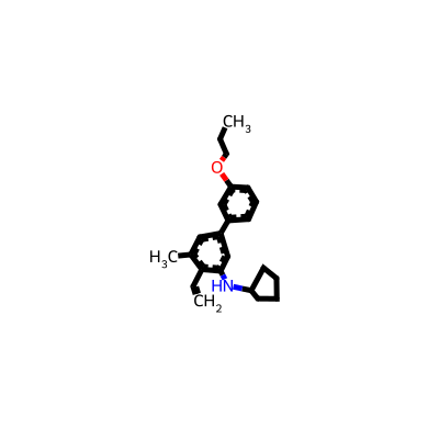 C=Cc1c(C)cc(-c2cccc(OCCC)c2)cc1NC1CCCC1